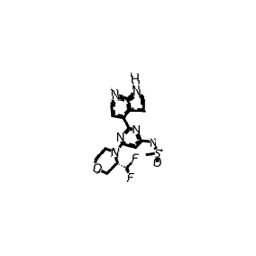 CS(C)(=O)=Nc1cc(N2CCOC[C@H]2C(F)F)nc(-c2ccnc3[nH]ccc23)n1